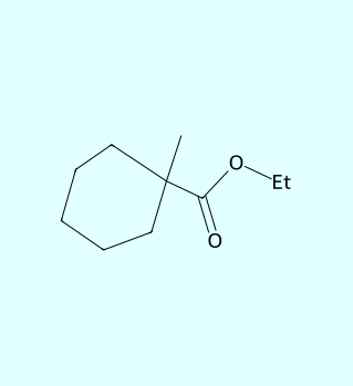 CCOC(=O)C1(C)CCCCC1